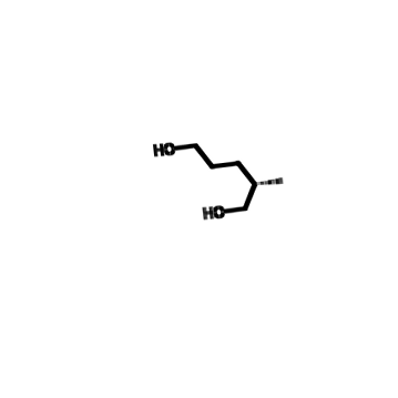 C[C@H](CO)CCCO